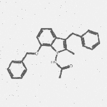 CC(=O)Nn1c(C)c(Cc2ccccc2)c2cccc(OCc3ccccc3)c21